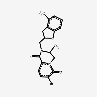 CC1Cn2c(ccc(Br)c2=O)C(=O)N1CC1Cc2c(cccc2C(F)(F)F)O1